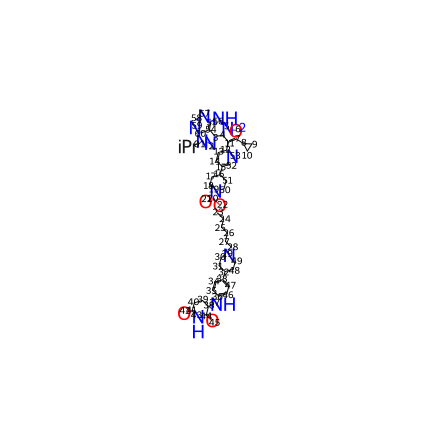 CC(C)n1nc(-c2noc(C3CC3)c2-c2ccc(C3CCN(C(=O)OCCCCCCN4CCC(c5ccc(NC6CCC(=O)NC6=O)cc5)CC4)CC3)cn2)c2c(N)ncnc21